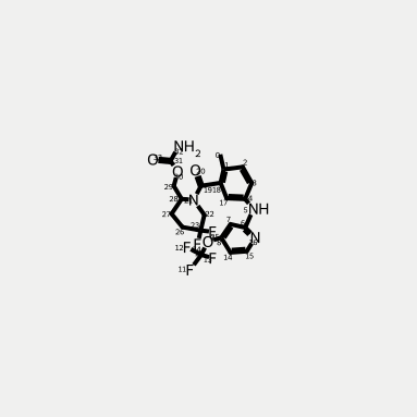 Cc1ccc(Nc2cc(OC(F)(F)F)ccn2)cc1C(=O)N1CC(F)(F)CCC1COC(N)=O